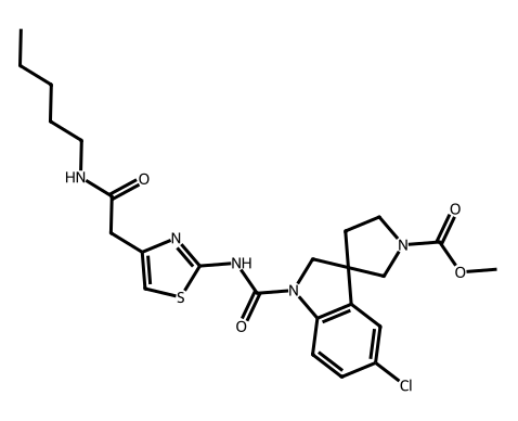 CCCCCNC(=O)Cc1csc(NC(=O)N2CC3(CCN(C(=O)OC)C3)c3cc(Cl)ccc32)n1